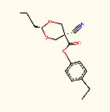 CCC[C@H]1OC[C@@](C#N)(C(=O)Oc2ccc(CC)cc2)CO1